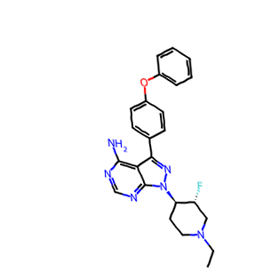 CCN1CC[C@@H](n2nc(-c3ccc(Oc4ccccc4)cc3)c3c(N)ncnc32)[C@H](F)C1